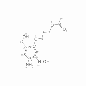 CC(=O)OCCCOc1cc(N=O)c(N)cc1CO